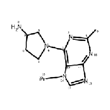 Cc1nc(N2CCC(N)C2)c2c(ncn2C(C)C)n1